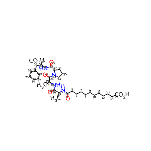 C[C@H](NC(=O)CCCCCCCCCCC(=O)O)C(=O)N[C@@H](C)C(=O)N1CCC[C@H]1C(=O)N[C@@H](Cc1ccccc1)C(=O)O